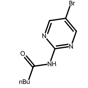 CCCCC(=O)Nc1ncc(Br)cn1